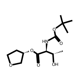 C[C@H](O)[C@H](NC(=O)OC(C)(C)C)C(=O)O[C@H]1CCOC1